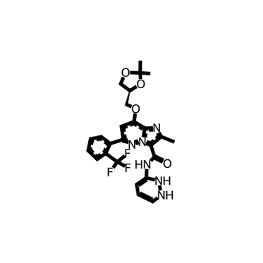 Cc1nc2c(OC[C@H]3COC(C)(C)O3)cc(-c3ccccc3C(F)(F)F)nn2c1C(=O)NC1=CC=CNN1